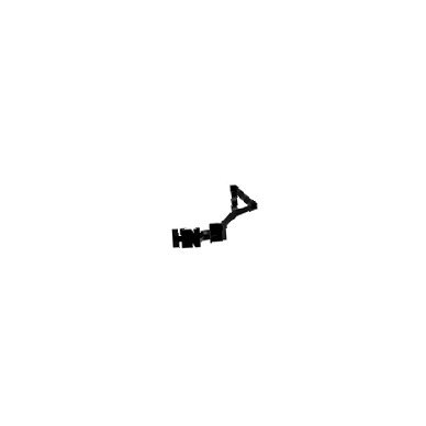 [NH]=[Bi][CH]1CC1